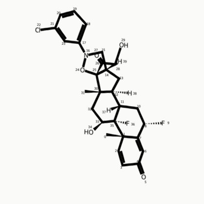 C[C@]12C=CC(=O)C=C1[C@@H](F)C[C@H]1[C@@H]3C[C@H]4CN(c5cccc(Cl)c5)O[C@@]4(C(=O)CO)[C@@]3(C)C[C@H](O)[C@@]12F